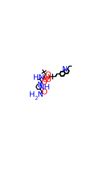 CCc1ccc2ccc(/C=C/C(C)(C)C(=O)OC(C(=O)NC(C)C(=O)N3CCCC(C(N)=O)N3)C(C)(C)C)cc2n1